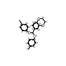 Cc1ccc(OC(Oc2ccc(C)cc2)c2ccc3c(c2)OCCO3)cc1